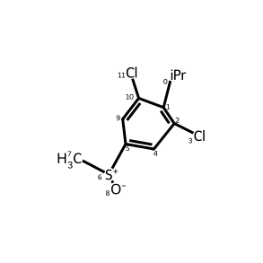 CC(C)c1c(Cl)cc([S+](C)[O-])cc1Cl